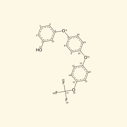 Oc1cccc(Oc2ccc(Oc3ccc(OC(F)(F)F)cc3)cc2)c1